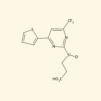 O=C(O)CC[S+]([O-])c1nc(-c2cccs2)cc(C(F)(F)F)n1